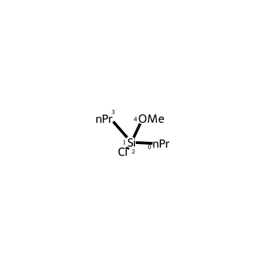 CCC[Si](Cl)(CCC)OC